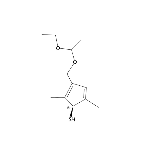 CCOC(C)OCC1=C(C)[C@H](S)C(C)=C1